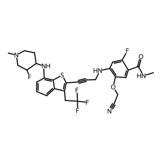 CNC(=O)c1cc(OCC#N)c(NCC#Cc2sc3c(NC4CCN(C)CC4F)cccc3c2CC(F)(F)F)cc1F